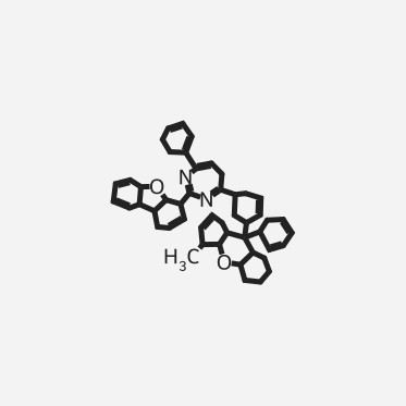 CC1C=CCC2C1OC1CCCCC1C2(C1C=CC=CC1)C1C=CCC(C2=NC(C3C=CCC4C5C=CC=CC5OC34)=NC(C3=CC=CCC3)=CC2)C1